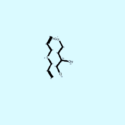 C=CCSCC=C.CCCCCCCCCCC(O)CCl